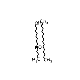 CC=CCCCCCCCC(O)CCCCC.CCCCC=CCCCCCCCCO